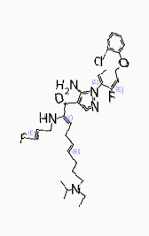 C/C=C(\C(F)=C/COc1ccccc1Cl)n1ncc(C(=O)/C(=C/C/C=C/CCCN(CC)C(C)C)NC/C=C/F)c1N